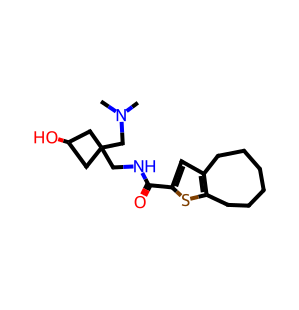 CN(C)CC1(CNC(=O)c2cc3c(s2)CCCCCC3)CC(O)C1